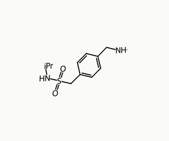 CC(C)NS(=O)(=O)Cc1ccc(C[NH])cc1